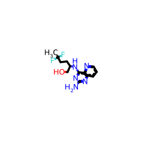 CC(F)(F)CCC(CO)Nc1nc(N)nc2cccnc12